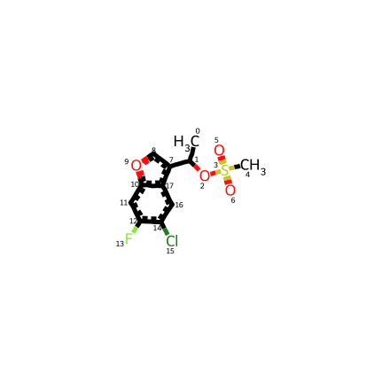 CC(OS(C)(=O)=O)c1coc2cc(F)c(Cl)cc12